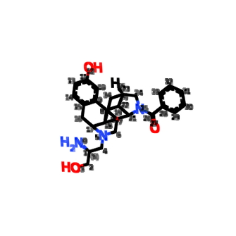 N[C@H](CO)CN1CCC23c4cc(O)ccc4CC1C21CCC2C3[C@@H](CN2C(=O)c2ccccc2)C1